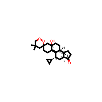 CC1(C)COOC2(CCC3=C4[C@@H](CC[C@@]3(O)C2)[C@@H]2CCC(=O)[C@@]2(C)C[C@@H]4C2CC2)C1